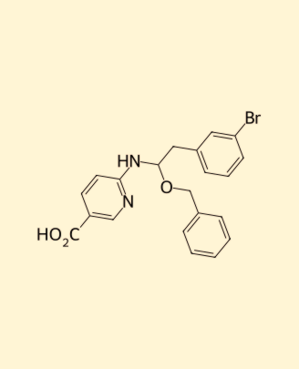 O=C(O)c1ccc(NC(Cc2cccc(Br)c2)OCc2ccccc2)nc1